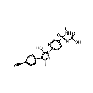 CNS(=O)(=NC(=O)O)c1ccc(-n2nc(C)c(-c3ccc(C#N)cc3)c2O)nc1